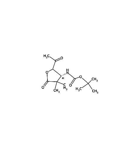 CC(=O)C1OC(=O)C(C)(C)[C@H]1NC(=O)OC(C)(C)C